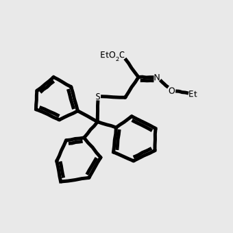 CCO/N=C(\CSC(c1ccccc1)(c1ccccc1)c1ccccc1)C(=O)OCC